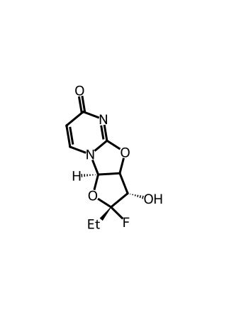 CC[C@@]1(F)O[C@@H]2C(Oc3nc(=O)ccn32)[C@@H]1O